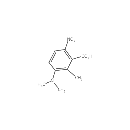 Cc1c(N(C)C)ccc([N+](=O)[O-])c1C(=O)O